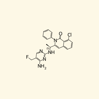 C[C@H](Nc1ncc(CF)c(N)n1)c1cc2cccc(Cl)c2c(=O)n1-c1ccccc1